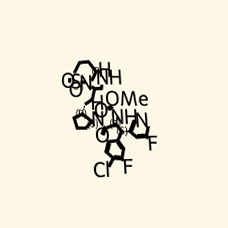 COC(=O)N[C@H](C(=O)N[C@H]1CCC[C@@H]1CCC1CN[C@@H]2CCCS(=O)(=O)N1C2)[C@H](c1cncc(F)c1)c1ccc(Cl)c(F)c1